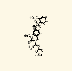 CC(C)(C)OC(=O)N=C(N)N(Cc1ccc(NS(=O)(=O)C2CCCC=C2C(=O)O)cc1)C(=O)OC(C)(C)C